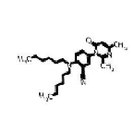 CCCCCCN(CCCCCC)c1ccc(-n2c(C)nc(C)cc2=O)cc1C#N